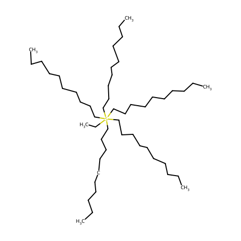 CCCCCCCCCCS(CC)(CCCCCCCCCC)(CCCCCCCCCC)(CCCCCCCCCC)CCCCCCCCCC